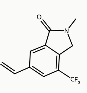 C=Cc1cc2c(c(C(F)(F)F)c1)CN(C)C2=O